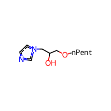 CCCCCOCC(O)Cn1ccnc1